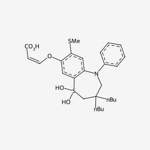 CCCCC1(CCCC)CN(c2ccccc2)c2cc(SC)c(O/C=C\C(=O)O)cc2S(O)(O)C1